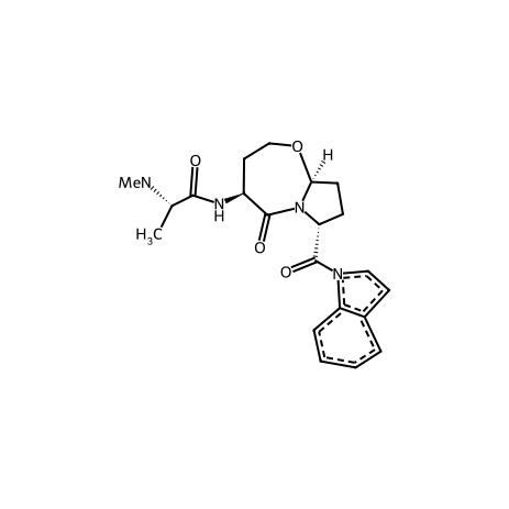 CN[C@@H](C)C(=O)N[C@H]1CCO[C@H]2CC[C@H](C(=O)n3ccc4ccccc43)N2C1=O